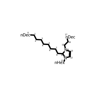 CCCCCCCCCCCCCCCCCCC1N(CCCCCC)C=CN1CCCCCCCCCCCC